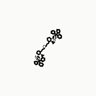 c1ccc(C(c2ccccc2)(c2ccccc2)n2cnc([C@@H]3CCCC(CCCOCCCC4CCC[C@@H](c5cn(C(c6ccccc6)(c6ccccc6)c6ccccc6)cn5)[C@@H]4C4CC4)[C@H]3C3CC3)c2)cc1